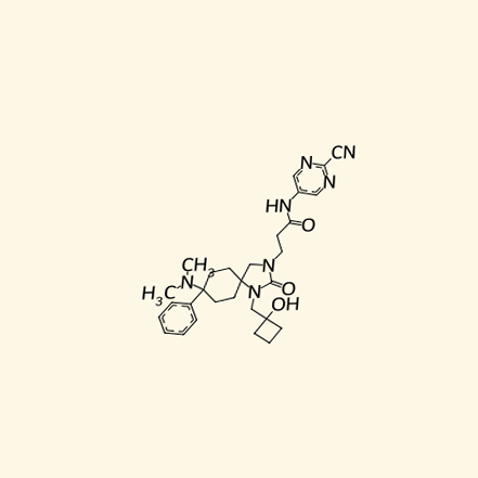 CN(C)C1(c2ccccc2)CCC2(CC1)CN(CCC(=O)Nc1cnc(C#N)nc1)C(=O)N2CC1(O)CCC1